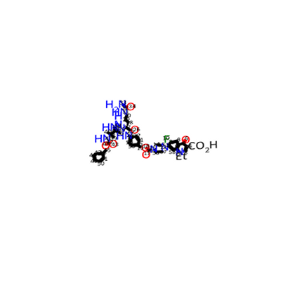 CCn1cc(C(=O)O)c(=O)c2cc(F)c(N3CCN(C(=O)OCc4ccc(NC(=O)[C@H](CCCNC(N)=O)N5C=C(C(C)(C)NC(=O)OCc6ccccc6)NN5)cc4)CC3)cc21